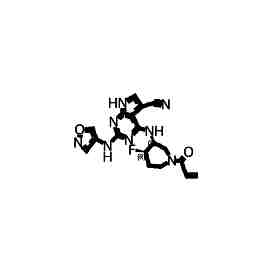 C=CC(=O)N1CC[C@@H](F)[C@@H](Nc2nc(Nc3cnoc3)nc3[nH]cc(C#N)c23)C1